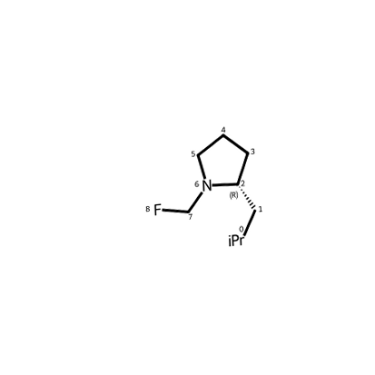 CC(C)C[C@H]1CCCN1CF